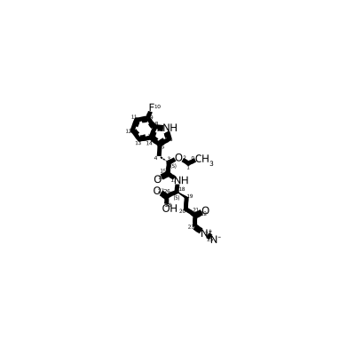 CCO[C@@H](Cc1c[nH]c2c(F)cccc12)C(=O)N[C@@H](CCC(=O)C=[N+]=[N-])C(=O)O